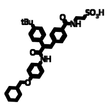 CC(C)(C)c1ccc(/C(=C\c2ccc(C(=O)NCCS(=O)(=O)O)cc2)C(=O)Nc2ccc(OCC3CCCCC3)cc2)cc1